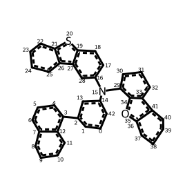 c1cc(-c2cccc3ccccc23)cc(N(c2ccc3sc4ccccc4c3c2)c2cccc3c2oc2ccccc23)c1